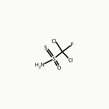 NS(=O)(=S)C(F)(Cl)Cl